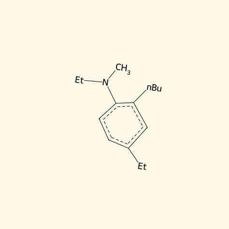 CCCCc1cc(CC)ccc1N(C)CC